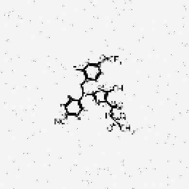 Cc1sc(N(Cc2ccc(OC(F)(F)F)cc2F)c2ccc(C#N)cc2)nc1C(=O)NS(C)(=O)=O